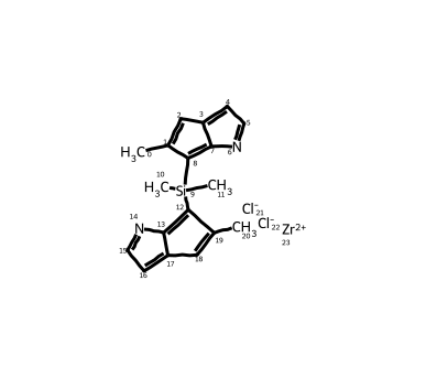 CC1=CC2=CC=NC2=C1[Si](C)(C)C1=C2N=CC=C2C=C1C.[Cl-].[Cl-].[Zr+2]